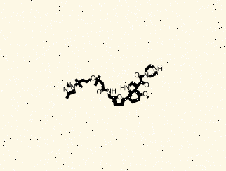 COc1ccc(-c2ccc(CNC(=O)CC(C)(C)OCCC(C)(C)n3cc(C)nn3)o2)c2[nH]cc(C(=O)C(=O)N3CCNCC3)c12